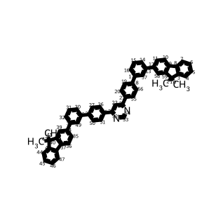 CC1(C)c2ccccc2-c2ccc(-c3cccc(-c4ccc(-c5cc(-c6ccc(-c7cccc(-c8ccc9c(c8)C(C)(C)c8ccccc8-9)c7)cc6)ncn5)cc4)c3)cc21